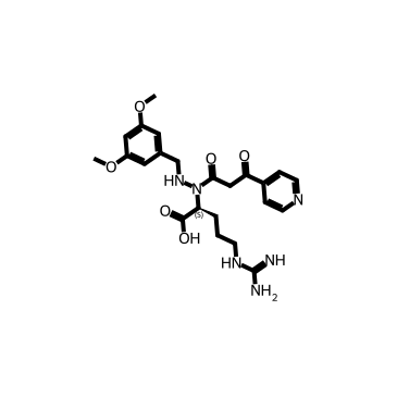 COc1cc(CNN(C(=O)CC(=O)c2ccncc2)[C@@H](CCCNC(=N)N)C(=O)O)cc(OC)c1